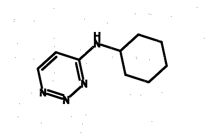 c1cc(NC2CCCCC2)nnn1